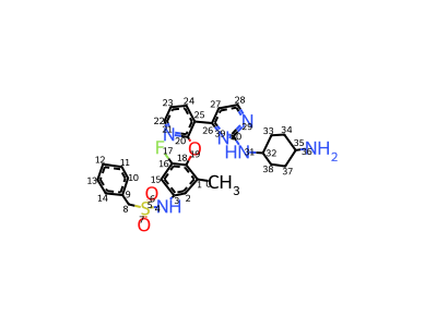 Cc1cc(NS(=O)(=O)Cc2ccccc2)cc(F)c1Oc1ncccc1-c1ccnc(NC2CCC(N)CC2)n1